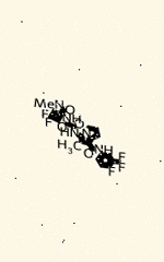 CNC(=O)C1(NC(=O)C(=O)Nc2c(C)c(C(=O)Nc3ccc(F)c(C(F)F)c3)c3n2CCC3)CC(F)(F)C1